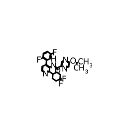 CC(C)Oc1cnc(C(=O)Nc2c(-c3cc(F)ccc3F)ccnc2C2CCC(F)(F)CC2)cn1